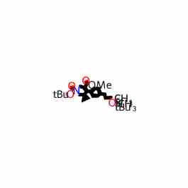 COC(=O)C1=C(c2ccc(CCCO[Si](C)(C)C(C)(C)C)cc2)C2(CC2)CN(C(=O)OC(C)(C)C)C1